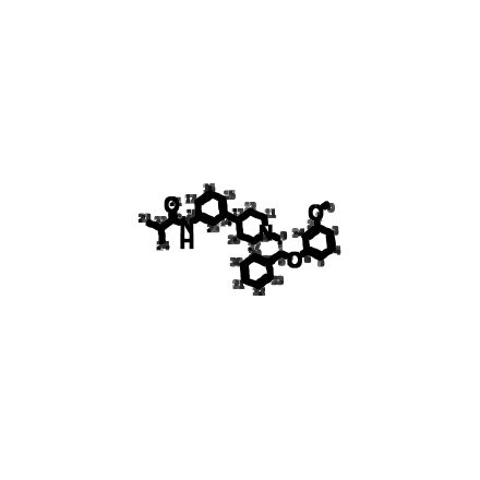 COc1cccc(O[C@@H](CN2CCC(c3cccc(NC(=O)C(C)C)c3)CC2)c2ccccc2)c1